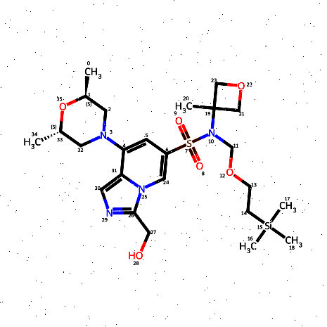 C[C@H]1CN(c2cc(S(=O)(=O)N(COCC[Si](C)(C)C)C3(C)COC3)cn3c(CO)ncc23)C[C@H](C)O1